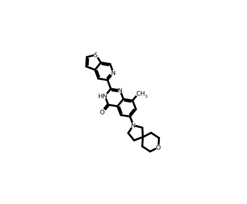 Cc1cc(N2CCC3(CCOCC3)C2)cc2c(=O)[nH]c(-c3cc4ccsc4cn3)nc12